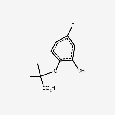 CC(C)(Oc1ccc(F)cc1O)C(=O)O